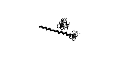 CCCCCCCCCCCCCCCCOP(=O)([O-])[O-].O=P(O)(O)O.[K+].[K+]